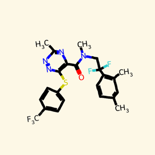 Cc1ccc(C(F)(F)CN(C)C(=O)c2nc(C)nnc2Sc2ccc(C(F)(F)F)cc2)c(C)c1